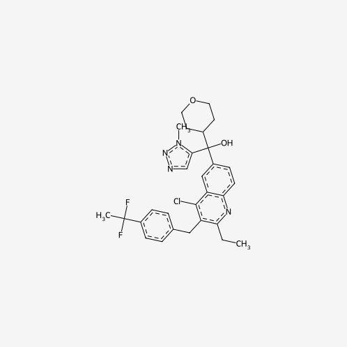 CCc1nc2ccc(C(O)(c3cnnn3C)C3CCOCC3)cc2c(Cl)c1Cc1ccc(C(C)(F)F)cc1